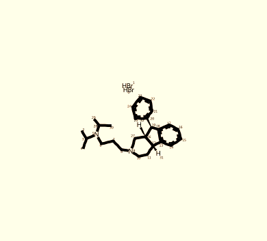 Br.Br.CC(C)N(CCCN1CC[C@H]2c3ccccc3[C@H](c3ccccc3)[C@H]2C1)C(C)C